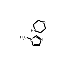 C1COCCN1.Cn1ccnc1